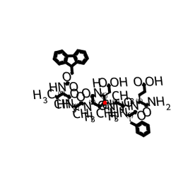 CC(C)[C@H](NC(=O)OCC1c2ccccc2-c2ccccc21)C(=O)N[C@@H](C)C(=O)N[C@H](C(=O)N[C@@H](CC(=O)O)C(=O)N[C@@H](C)C(=O)N[C@@H](Cc1ccccc1)C(=O)N[C@@H](CCC(=O)O)C(N)=O)C(C)C